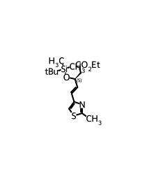 CCOC(=O)C[C@@H](C=Cc1csc(C)n1)O[Si](C)(C)C(C)(C)C